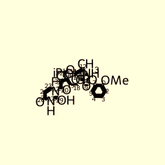 COc1ccccc1OP(=O)(N[C@@H](C)C(=O)OC(C)C)OC[C@H]1O[C@@H](N2C=CC(=O)NC2O)[C@@](F)(Cl)[C@@H]1O